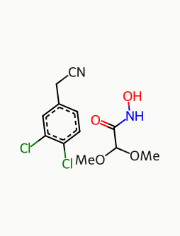 COC(OC)C(=O)NO.N#CCc1ccc(Cl)c(Cl)c1